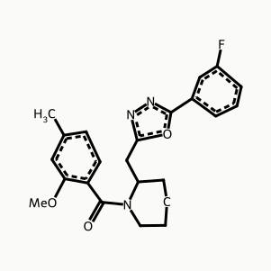 COc1cc(C)ccc1C(=O)N1CCCCC1Cc1nnc(-c2cccc(F)c2)o1